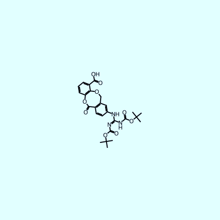 CC(C)(C)OC(=O)N=C(NC(=O)OC(C)(C)C)Nc1ccc2c(c1)COc1c(cccc1C(=O)O)OC2=O